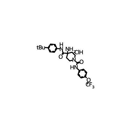 CC(C)(C)c1ccc(NC(=O)C2(N)CCN(C(=O)Nc3ccc(OC(F)(F)F)cc3)CC2)cc1.Cl